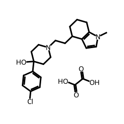 Cn1ccc2c1CCCC2CCN1CCC(O)(c2ccc(Cl)cc2)CC1.O=C(O)C(=O)O